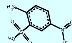 Nc1ccc([N+](=O)[O-])cc1S(=O)(=O)O